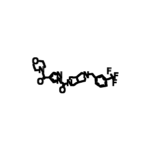 O=C(c1cnn(C(=O)N2CC3CN(Cc4cccc(C(F)(F)F)c4)CC3C2)c1)N1CCOCC1